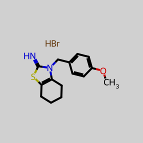 Br.COc1ccc(Cn2c3c(sc2=N)CCCC3)cc1